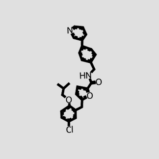 CC(C)COc1ccc(Cl)cc1Cc1ccc(C(=O)NCc2ccc(-c3cccnc3)cc2)o1